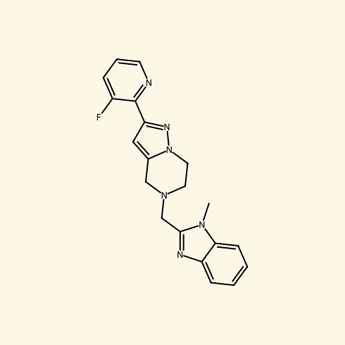 Cn1c(CN2CCn3nc(-c4ncccc4F)cc3C2)nc2ccccc21